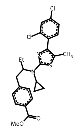 CCC(Cc1ccc(C(=O)OC)cc1)N(c1nc(-c2ccc(Cl)cc2Cl)c(C)s1)C1CC1